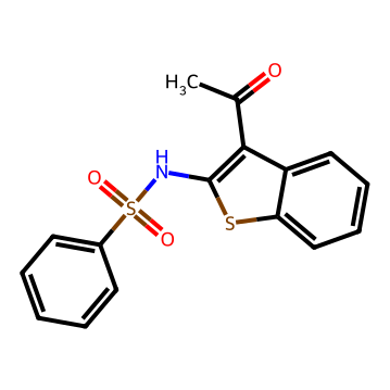 CC(=O)c1c(NS(=O)(=O)c2ccccc2)sc2ccccc12